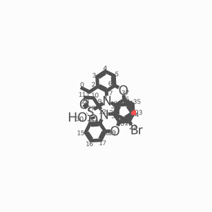 CCc1cccc2c1N(C(CC)(N1c3ccccc3Oc3c(Br)cccc31)S(=O)(=O)O)c1ccccc1O2